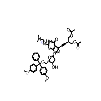 COc1ccc(C(OC[C@H]2O[C@@H](n3nc(C#CC(COC(C)=O)COC(C)=O)c4c(=O)[nH]c(/N=C/N(C)C)nc43)CC2O)(c2ccccc2)c2ccc(OC)cc2)cc1